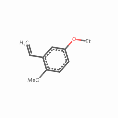 C=Cc1cc(OCC)ccc1OC